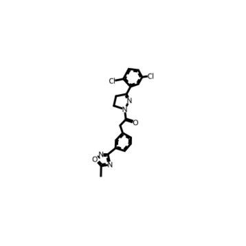 Cc1nc(-c2cccc(CC(=O)N3CCC(c4cc(Cl)ccc4Cl)=N3)c2)no1